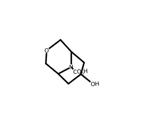 O=C(O)N1C2COCC1CC(O)C2